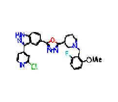 COc1cccc(F)c1CN1CCCC(c2nnc(-c3ccc4[nH]nc(-c5ccnc(Cl)c5)c4c3)o2)C1